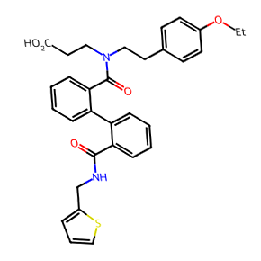 CCOc1ccc(CCN(CCC(=O)O)C(=O)c2ccccc2-c2ccccc2C(=O)NCc2cccs2)cc1